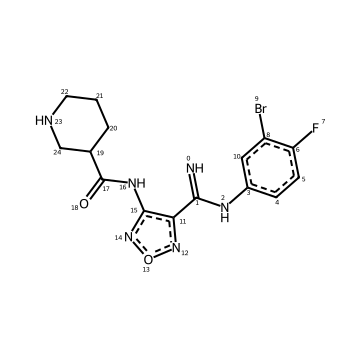 N=C(Nc1ccc(F)c(Br)c1)c1nonc1NC(=O)C1CCCNC1